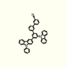 N#Cc1cccc(-c2cccc(-c3cc(-c4ccc5c(c4)c4ccccc4n5-c4ccccc4)cc(-n4c5ccccc5c5ccccc54)c3)c2)c1